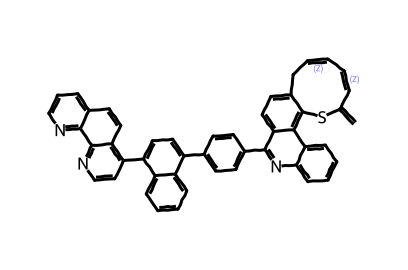 C=C1/C=C\C=C/Cc2ccc3c(-c4ccc(-c5ccc(-c6ccnc7c6ccc6cccnc67)c6ccccc56)cc4)nc4ccccc4c3c2S1